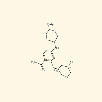 COC1CCC(Nc2ncc(C(N)=O)c(N[C@@H]3COC[C@@H](O)C3)n2)CC1